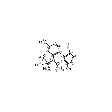 CO[C@H](c1cc(C)ccc1-c1cc(C)ncc1F)C(C)(C)C